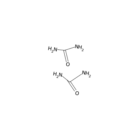 NC(N)=O.NC(N)=O